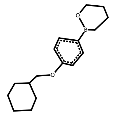 c1cc(B2CCCCO2)ccc1OCC1CCCCC1